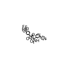 CC(=O)NC(c1ccnc(N2CCN(C)CC2)c1)N1CC(=O)N(c2ccc(S(=O)(=O)C(F)(F)F)cc2)C1=O